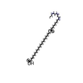 CC/C=C\C/C=C\C/C=C\CCCCCCCC(=O)OCCCCCCCCCCCCCCCCCCCCCC(=O)O